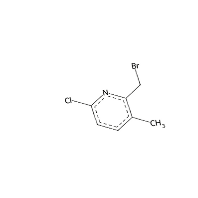 Cc1ccc(Cl)nc1CBr